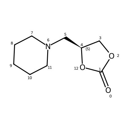 O=C1OC[C@H](CN2CCCCC2)O1